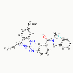 C=C/C=C(\N=C(/N)Nc1cccc(C(=O)N(C)Cc2ccccc2F)c1)c1ccc(NC(C)=O)cc1